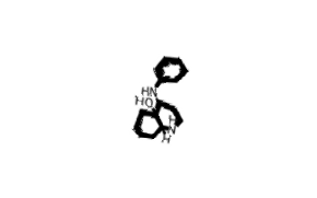 O[C@]12CCCC[C@H]1NCC[C@H]2Nc1ccccc1